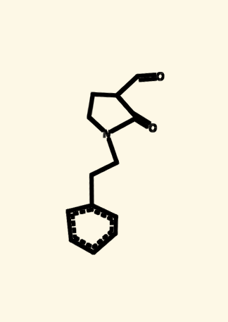 O=CC1CCN(CCc2ccccc2)C1=O